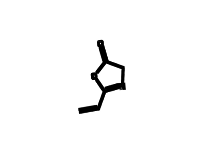 C=CC1=NCC(=O)O1